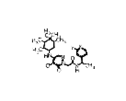 CC(NC(=O)Cn1ncc(N[C@@H]2C[C@H](C)C(C)(C)[C@H](C)[C@H]2C)c(Cl)c1=O)c1ccnc(F)c1